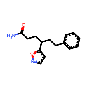 NC(=O)CCC(CCc1ccccc1)c1ccno1